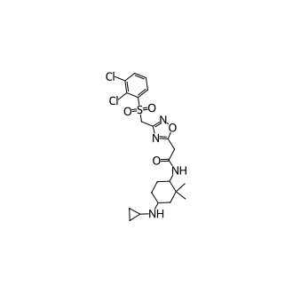 CC1(C)CC(NC2CC2)CCC1NC(=O)Cc1nc(CS(=O)(=O)c2cccc(Cl)c2Cl)no1